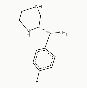 CC(c1ccc(F)cc1)[C@H]1CNCCN1